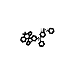 CC1(C)c2ccccc2C2(c3ccccc3-c3cc(N(c4ccccc4)c4ccc(Nc5ccccc5)cc4)ccc32)c2ccccc21